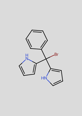 BrC(c1ccccc1)(c1ccc[nH]1)c1ccc[nH]1